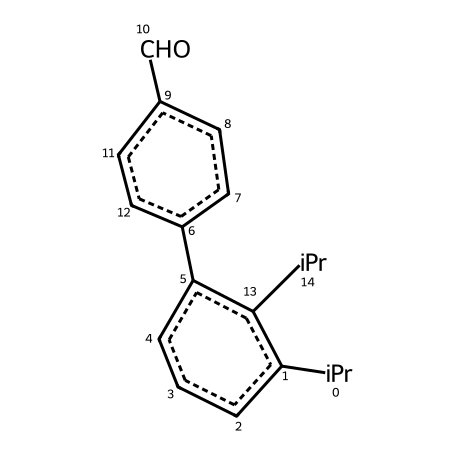 CC(C)c1cccc(-c2ccc(C=O)cc2)c1C(C)C